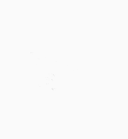 CCCCCCCC(=O)O.[Al+2][O][AlH2].[C-]#N.[C-]#N